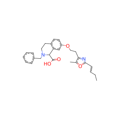 CCC=Cc1nc(CCOc2ccc3c(c2)C(C(=O)O)N(Cc2ccccc2)CC3)c(C)o1